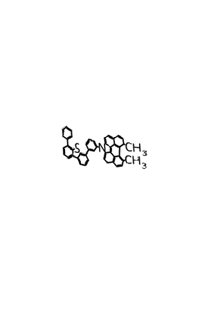 Cc1ccc2c3c1c1c4c(ccc5c4c3c(n5-c3cccc(-c4cccc5c4sc4c(-c6ccccc6)cccc45)c3)=CC2)C=CC1C